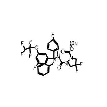 CC(C)(C)OC(=O)N1CC(F)(F)C[C@H]1C(=O)N[C@](Cc1ccccc1)(c1ccc(F)cc1)c1cc(F)cc(OC(F)(F)C(F)F)c1